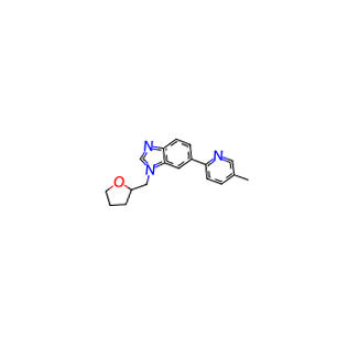 Cc1ccc(-c2ccc3ncn(CC4CCCO4)c3c2)nc1